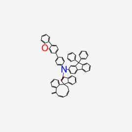 C=C1/C=C\C=C/CC2(c3ccccc31)c1ccccc1-c1c(N(c3ccc(-c4ccc5c(c4)oc4ccccc45)cc3)c3ccc4c(c3)C(c3ccccc3)(c3ccccc3)c3ccccc3-4)cccc12